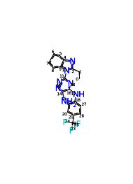 CCc1nc2ccccc2n1-c1nnc(N)c(Nc2ccc(C(F)(F)F)cc2)n1